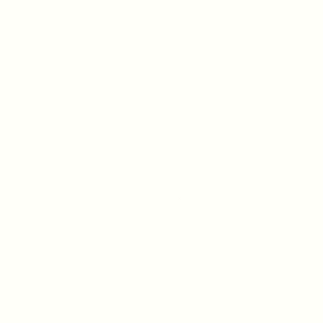 Clc1cccc(CCOc2cc[c]cc2)c1